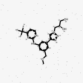 COCc1cc(Nc2nccc(C(F)(F)F)n2)cc(-c2cn(C[C@H](O)CO)nn2)c1